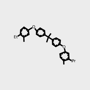 CCc1ccc(Oc2ccc(C(C)(C)c3ccc(Oc4ccc(C)c(C(C)C)c4)cc3)cc2)cc1C